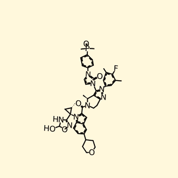 Cc1cc(-n2nc3c(c2-n2ccn(-c4ccc(P(C)(C)=O)cc4)c2=O)[C@H](C)N(C(=O)c2cc4cc(C5CCOCC5)ccc4n2[C@@]2(C4=NOC(O)N4)C[C@@H]2C)CC3)cc(C)c1F